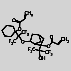 C=CC(=O)OC1(C(OC2CC3CC2C(OC(=O)C=C)(C(O)(C(F)(F)F)C(F)(F)F)C3)(C(F)(F)F)C(F)(F)F)CCCCC1